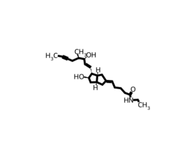 CC#CC[C@@H](C)[C@H](O)/C=C/[C@@H]1[C@H]2C/C(=C/CCCC(=O)NCC)C[C@H]2C[C@H]1O